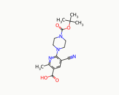 Cc1nc(N2CCN(C(=O)OC(C)(C)C)CC2)c(C#N)cc1C(=O)O